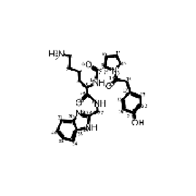 NCCCCC(NC(=O)[C@@H]1CCCN1C(=O)Cc1ccc(O)cc1)C(=O)NCc1nc2ccccc2[nH]1